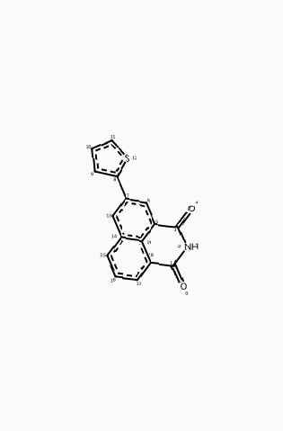 O=C1NC(=O)c2cc(-c3cccs3)cc3cccc1c23